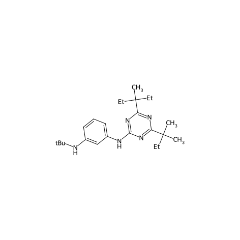 CCC(C)(C)c1nc(Nc2cccc(NC(C)(C)C)c2)nc(C(C)(CC)CC)n1